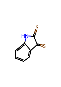 S=C1Nc2ccccc2C1=S